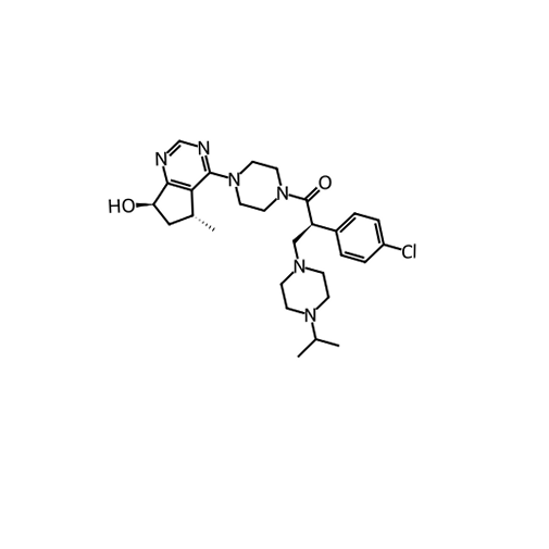 CC(C)N1CCN(C[C@@H](C(=O)N2CCN(c3ncnc4c3[C@H](C)C[C@H]4O)CC2)c2ccc(Cl)cc2)CC1